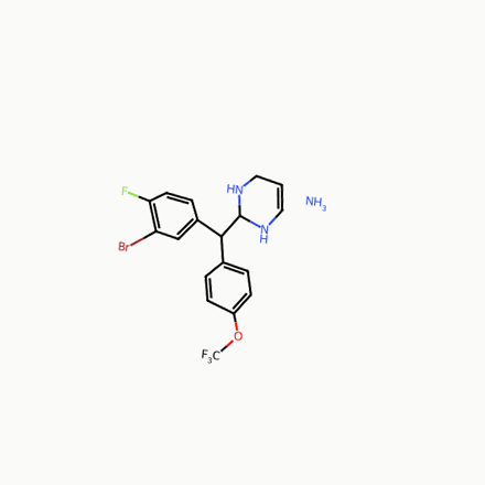 Fc1ccc(C(c2ccc(OC(F)(F)F)cc2)C2NC=CCN2)cc1Br.N